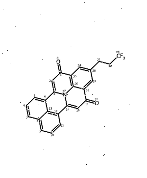 O=c1cc2c3cccc4cccc(c43)c3cc(=O)c4cc(CCC(F)(F)F)cc1c4n23